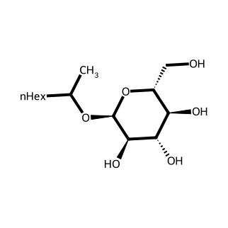 CCCCCCC(C)O[C@H]1O[C@H](CO)[C@@H](O)[C@H](O)[C@H]1O